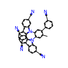 Cc1cc(-n2c3cc(C#N)ccc3c3ccc(C#N)cc32)c(-n2c3cc(C#N)ccc3c3ccc(C#N)cc32)cc1-c1cccc(C#N)c1